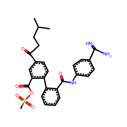 CC(C)CCC(=O)c1ccc(-c2ccccc2C(=O)Nc2ccc(C(=N)N)cc2)c(C(=O)OS(C)(=O)=O)c1